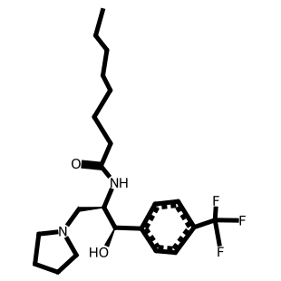 CCCCCCCC(=O)N[C@H](CN1CCCC1)[C@H](O)c1ccc(C(F)(F)F)cc1